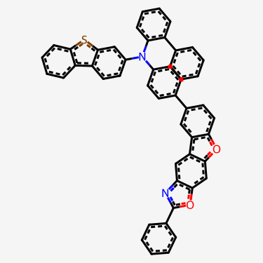 c1ccc(-c2nc3cc4c(cc3o2)oc2ccc(-c3ccc(N(c5ccc6c(c5)sc5ccccc56)c5ccccc5-c5ccccc5)cc3)cc24)cc1